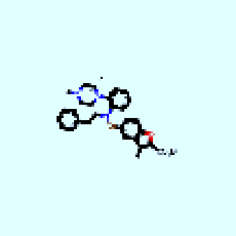 CCOC(=O)c1oc2ccc(SN(CCc3ccccc3)c3ccccc3N3CCN(C)C[C@@H]3C)cc2c1C